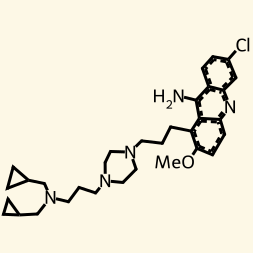 COc1ccc2nc3cc(Cl)ccc3c(N)c2c1CCCN1CCN(CCCN(CC2CC2)CC2CC2)CC1